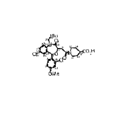 COc1ccc(C2OC(CC(=O)N3CCC(C(=O)O)CC3)C(=O)N(CC(C)(C)C)c3ccc(Cl)cc32)c(Cl)c1